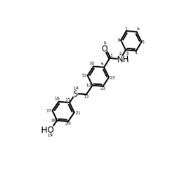 O=C(Nc1ccccc1)c1ccc(CSc2ccc(O)cc2)cc1